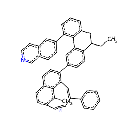 CCC1Cc2cccc(-c3ccc4cnccc4c3)c2-c2cc(-c3ccc4ccc5c(C)c4c3C=C(c3ccccc3)/C=C\5)ccc21